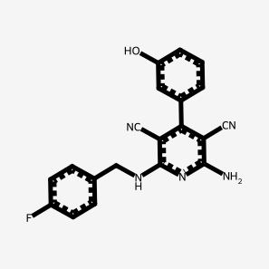 N#Cc1c(N)nc(NCc2ccc(F)cc2)c(C#N)c1-c1cccc(O)c1